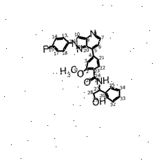 COc1cc(-c2ccnc3cn(-c4ccc(F)cc4)nc23)ccc1C(=O)NC(CO)c1ccccc1